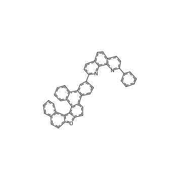 c1ccc(-c2ccc3ccc4ccc(-c5ccc6c(c5)c5ccccc5c5c6ccc6oc7ccc8ccccc8c7c65)nc4c3n2)cc1